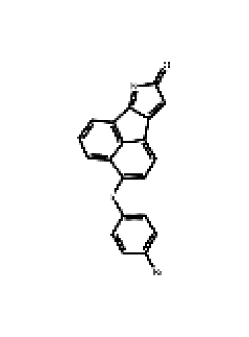 O=C1C=C2C(=N1)c1cccc3c(Sc4ccc(Br)cc4)ccc2c13